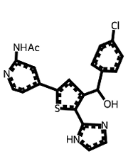 CC(=O)Nc1cc(-c2cc(C(O)c3ccc(Cl)cc3)c(-c3ncc[nH]3)s2)ccn1